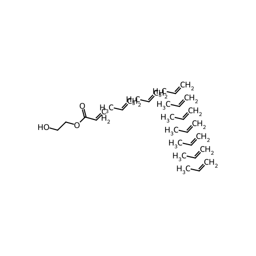 C=CC.C=CC.C=CC.C=CC.C=CC.C=CC.C=CC.C=CC.C=CC.C=CC(=O)OCCO